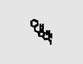 Ic1cc2cc(Cc3ccccc3)[nH]c2nn1